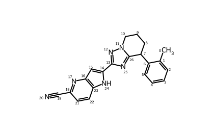 Cc1ccccc1C1CCCn2nc(-c3cc4nc(C#N)ccc4[nH]3)nc21